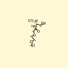 CCOCCOCC(=O)N[C@@H](CS)C(=O)O